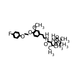 COc1cc(CCNC(=O)[C@@H](NS(=O)(=O)N(C)C)C(C)C)ccc1OCCOc1ccc(F)cc1